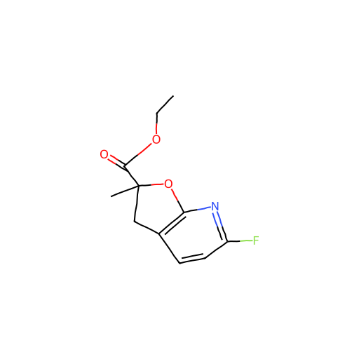 CCOC(=O)C1(C)Cc2ccc(F)nc2O1